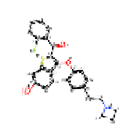 O=C(c1ccccc1F)c1sc2cc(O)ccc2c1Oc1ccc(CCN2CCC2)cc1